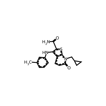 Cc1cccc(Nc2c(C(N)=O)sc3c2ccc(=O)n3CC2CC2)c1